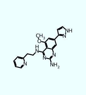 COc1cc(-c2cc[nH]n2)cc2nc(N)nc(NCCc3ccccn3)c12